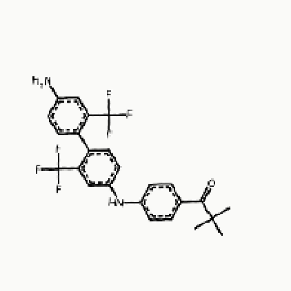 CC(C)(C)C(=O)c1ccc(Nc2ccc(-c3ccc(N)cc3C(F)(F)F)c(C(F)(F)F)c2)cc1